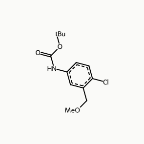 COCc1cc(NC(=O)OC(C)(C)C)ccc1Cl